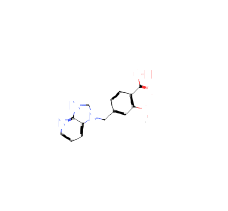 COc1cc(CN2CNc3ncccc32)ccc1C(=O)O